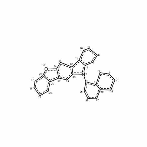 c1ccc2c(-n3c4ccccc4c4cc5oc6ccccc6c5cc43)cccc2c1